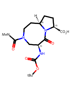 CNC(=O)N1CC[C@H]2CC[C@@H](C(=O)O)N2C(=O)[C@@H](NC(=O)OC(C)(C)C)C1